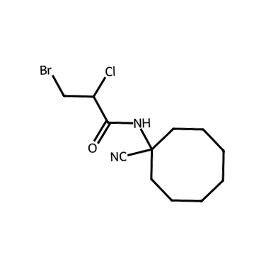 N#CC1(NC(=O)C(Cl)CBr)CCCCCCC1